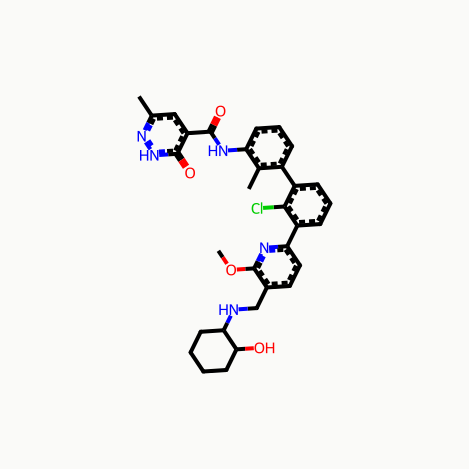 COc1nc(-c2cccc(-c3cccc(NC(=O)c4cc(C)n[nH]c4=O)c3C)c2Cl)ccc1CNC1CCCCC1O